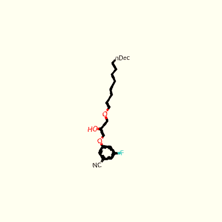 CCCCCCCCCCCCCCCCCCOCC(O)COc1cc(F)cc(C#N)c1